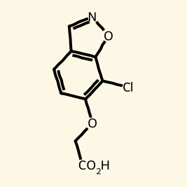 O=C(O)COc1ccc2cnoc2c1Cl